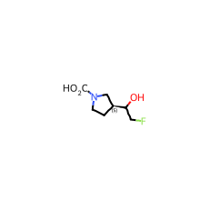 O=C(O)N1CC[C@H](C(O)CF)C1